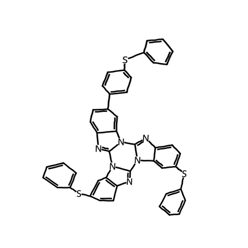 c1ccc(Sc2ccc(-c3ccc4nc5n6c7cc(Sc8ccccc8)ccc7nc6n6c7cc(Sc8ccccc8)ccc7nc6n5c4c3)cc2)cc1